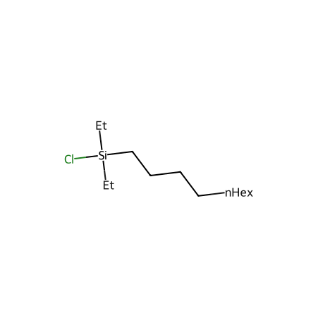 CCCCCCCCCC[Si](Cl)(CC)CC